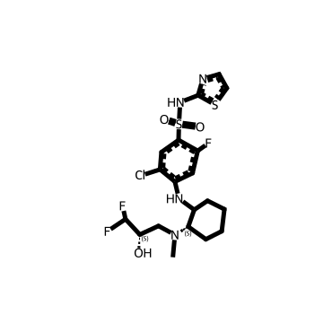 CN(C[C@H](O)C(F)F)[C@H]1CCCCC1Nc1cc(F)c(S(=O)(=O)Nc2nccs2)cc1Cl